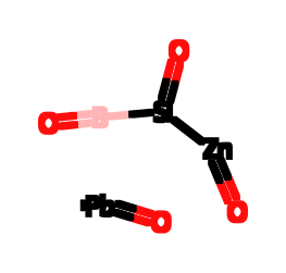 O=B[Si](=O)[Zn]=[O].[O]=[Pb]